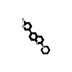 Fc1ccc(-c2ccc3nc(N4CCCCC4)ccc3c2)cn1